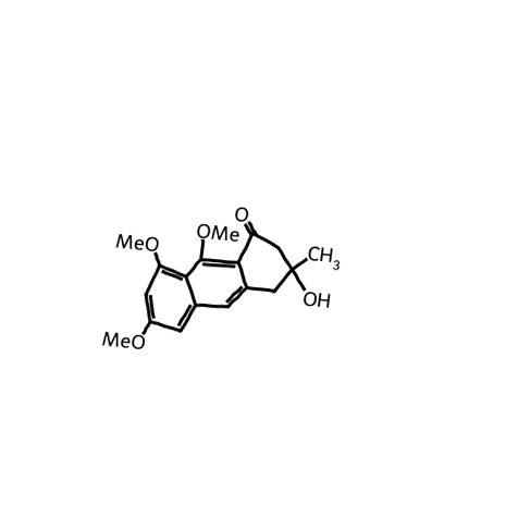 COc1cc(OC)c2c(OC)c3c(cc2c1)CC(C)(O)CC3=O